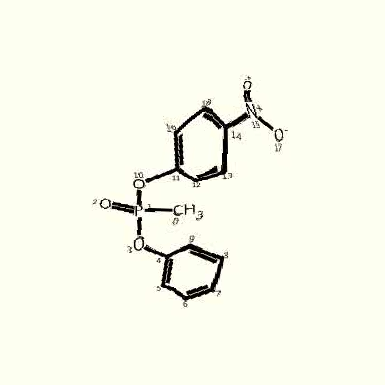 CP(=O)(Oc1ccccc1)Oc1ccc([N+](=O)[O-])cc1